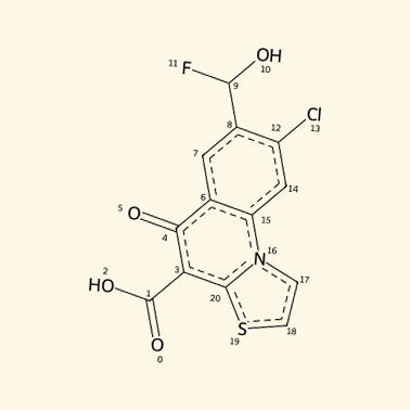 O=C(O)c1c(=O)c2cc(C(O)F)c(Cl)cc2n2ccsc12